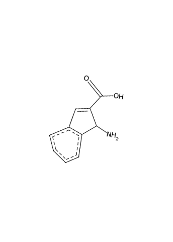 NC1C(C(=O)O)=Cc2ccccc21